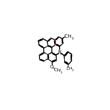 COc1cc(N(c2cccc(C)c2)c2cccc(C)c2)c2c3cccc4cccc(c5cccc1c52)c43